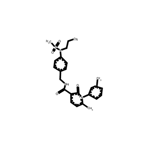 Cc1ccc(C(=O)NCc2ccc(N(CCC#N)S(C)(=O)=O)cc2)c(=O)n1-c1cccc(C(F)(F)F)c1